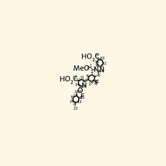 COCCn1c(Cc2ccc(-c3cc(C(=O)O)cc(OCc4ccc(C)cc4F)n3)cc2F)nc2ccc(C(=O)O)cc21